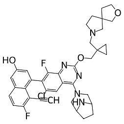 C#Cc1c(F)ccc2cc(O)cc(-c3c(Cl)cc4c(N5CC6CCC(C5)N6)nc(OCC5(CN6CCC7(CCOC7)C6)CC5)nc4c3F)c12